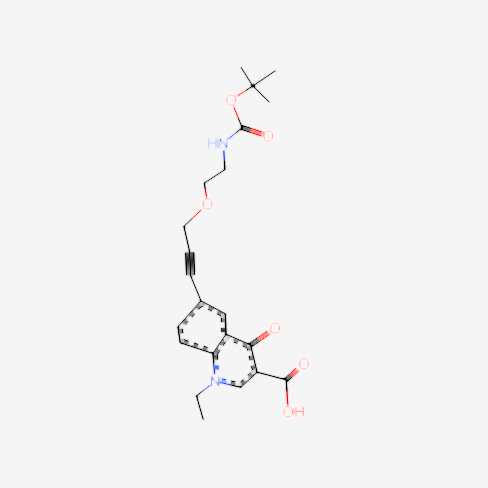 CCn1cc(C(=O)O)c(=O)c2cc(C#CCOCCNC(=O)OC(C)(C)C)ccc21